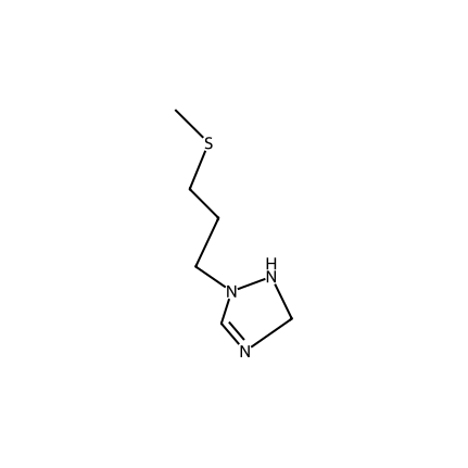 CSCCCN1C=NCN1